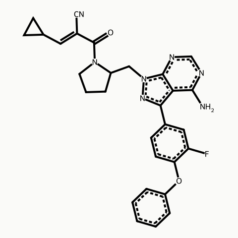 N#CC(=CC1CC1)C(=O)N1CCCC1Cn1nc(-c2ccc(Oc3ccccc3)c(F)c2)c2c(N)ncnc21